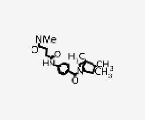 CNC(=O)CCC(=O)Nc1ccc(C(=O)N2CC3(C)CC2CC(C)(C)C3)cc1